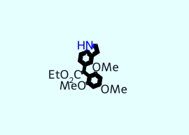 CCOC(=O)C(c1ccc2[nH]ccc2c1)c1c(OC)cc(OC)cc1OC